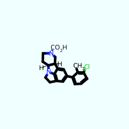 Cc1c(Cl)cccc1-c1cc2c3c(c1)[C@@H]1CN(C(=O)O)CC[C@@H]1N3CC2